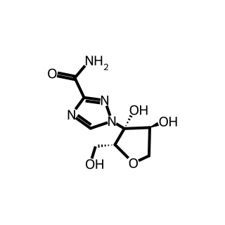 NC(=O)c1ncn([C@@]2(O)[C@@H](O)CO[C@@H]2CO)n1